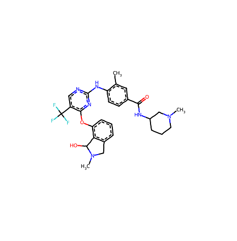 Cc1cc(C(=O)NC2CCCN(C)C2)ccc1Nc1ncc(C(F)(F)F)c(Oc2cccc3c2C(O)N(C)C3)n1